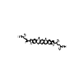 COc1cc2cc(C(=O)CCC(=O)O)sc2cc1Cc1cccc(Cc2cc3sc(C(=O)CCC(=O)O)cc3cc2OC)c1